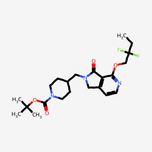 CCC(F)(F)COc1nccc2c1C(=O)N(CC1CCN(C(=O)OC(C)(C)C)CC1)C2